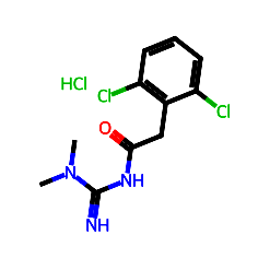 CN(C)C(=N)NC(=O)Cc1c(Cl)cccc1Cl.Cl